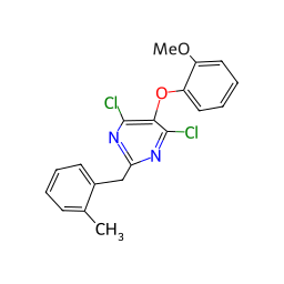 COc1ccccc1Oc1c(Cl)nc(Cc2ccccc2C)nc1Cl